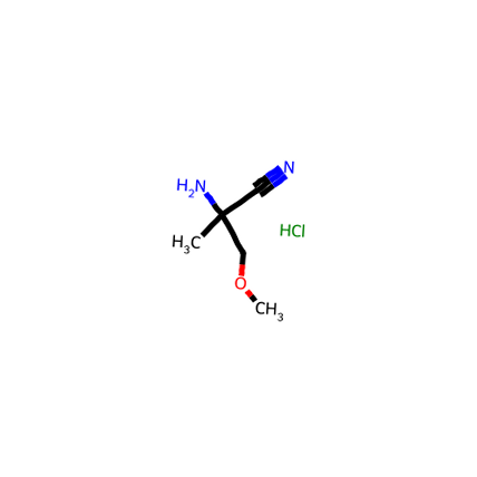 COCC(C)(N)C#N.Cl